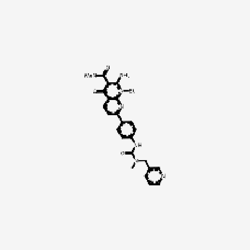 CCn1c(N)c(C(=O)NC)c(=O)c2ccc(-c3ccc(NC(=O)N(C)Cc4cccnc4)cc3)nc21